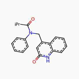 CC(C)C(=O)N(Cc1cc(=O)[nH]c2ccccc12)c1ccccc1